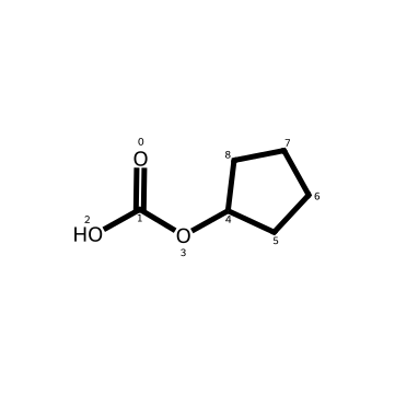 O=C(O)OC1CCCC1